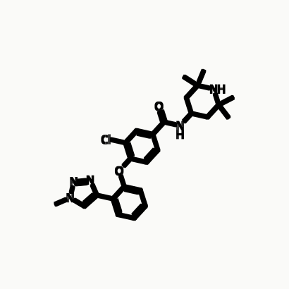 Cn1cc(-c2ccccc2Oc2ccc(C(=O)NC3CC(C)(C)NC(C)(C)C3)cc2Cl)nn1